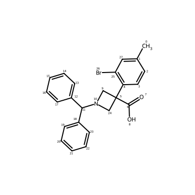 Cc1ccc(C2(C(=O)O)CN(C(c3ccccc3)c3ccccc3)C2)c(Br)c1